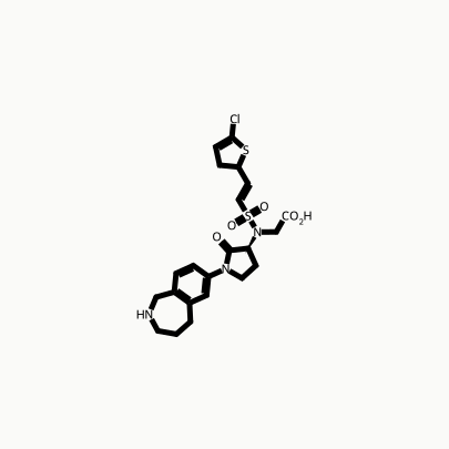 O=C(O)CN([C@H]1CCN(c2ccc3c(c2)CCCNC3)C1=O)S(=O)(=O)/C=C/C1CC=C(Cl)S1